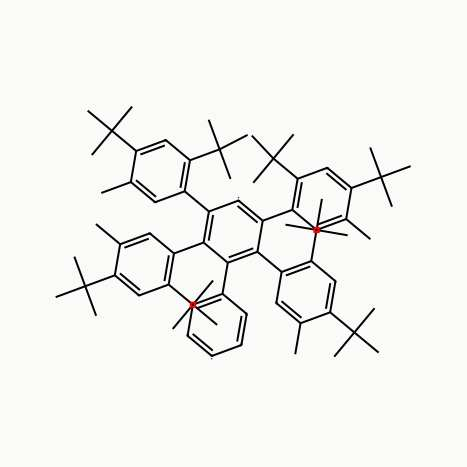 Cc1cc(-c2[c]c(-c3cc(C)c(C(C)(C)C)cc3C(C)(C)C)c(-c3cc(C)c(C(C)(C)C)cc3C(C)(C)C)c(-c3cc[c]cc3)c2-c2cc(C)c(C(C)(C)C)cc2C(C)(C)C)c(C(C)(C)C)cc1C(C)(C)C